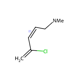 C=C(Cl)/C=C\CNC